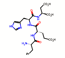 CC(C)C[C@H](N)C(=O)N[C@@H](CCC(=O)O)C(=O)N[C@@H](Cc1c[nH]cn1)C(=O)N[C@@H](CC(=O)O)C(=O)O